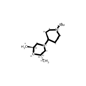 C[C@H]1CN(C2CCN(C(C)(C)C)CC2)C[C@H](C)O1